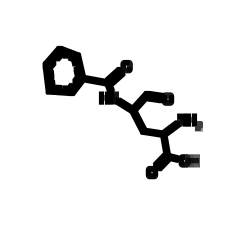 NC(CC(C=O)NC(=O)c1ccccc1)C(=O)O